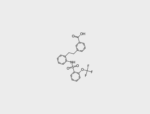 O=C(O)c1cccc(CCc2ccccc2NS(=O)(=O)c2ccccc2OC(F)(F)F)c1